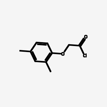 Cc1ccc(OCC(=O)Cl)c(C)c1